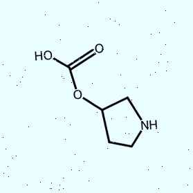 O=C(O)OC1CCNC1